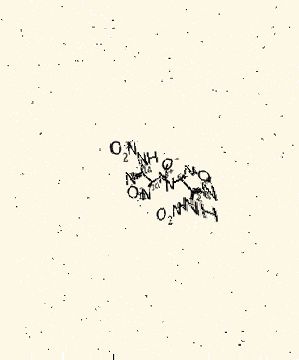 O=[N+]([O-])Nc1nonc1N=[N+]([O-])c1nonc1N[N+](=O)[O-]